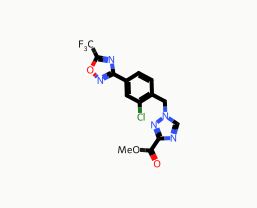 COC(=O)c1ncn(Cc2ccc(-c3noc(C(F)(F)F)n3)cc2Cl)n1